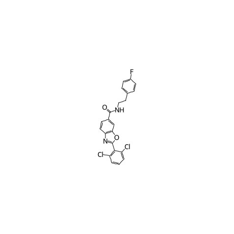 O=C(NCCc1ccc(F)cc1)c1ccc2nc(-c3c(Cl)cccc3Cl)oc2c1